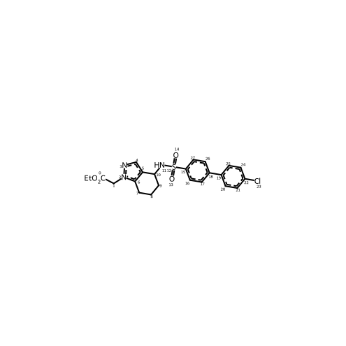 CCOC(=O)Cn1ncc2c1CCCC2NS(=O)(=O)c1ccc(-c2ccc(Cl)cc2)cc1